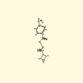 Cc1ccc(NCCNC2COC2)cc1